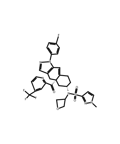 Cn1ccc(S(=O)(=O)N(C2COC2)[C@H]2CCC3=Cc4c(cnn4-c4ccc(F)cc4)C[C@]3(C(=O)c3cc(C(F)(F)F)ccn3)C2)n1